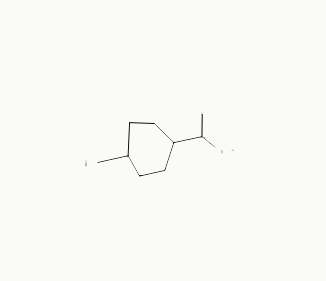 CCCCCC[C](CC)C1CCC(C(C)C)CC1